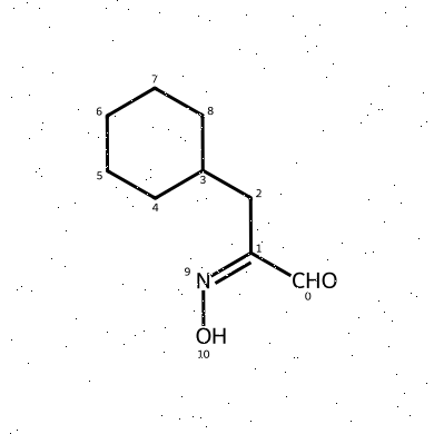 O=CC(CC1CCCCC1)=NO